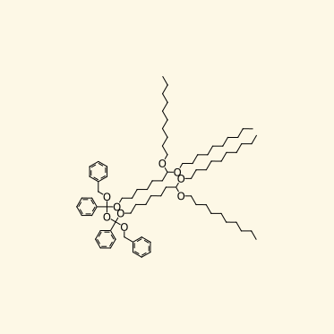 CCCCCCCCCCOC(CCCCCCOC(OCc1ccccc1)(OC(OCCCCCCC(OCCCCCCCCCC)OCCCCCCCCCC)(OCc1ccccc1)c1ccccc1)c1ccccc1)OCCCCCCCCCC